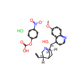 C=C[C@@H]1CN2CCC1C[C@@H]2[C@H](O)c1ccnc2ccc(OC)cc12.Cl.O=C(O)Oc1ccc([N+](=O)[O-])cc1